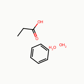 CCC(=O)O.O.O.c1ccccc1